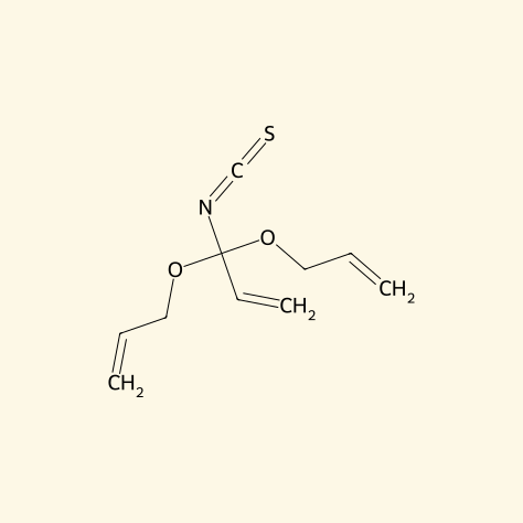 C=CCOC(C=C)(N=C=S)OCC=C